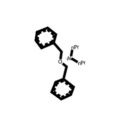 CC[CH2][Al][CH2]CC.c1ccc(COCc2ccccc2)cc1